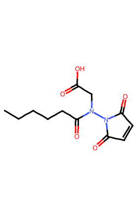 CCCCCC(=O)N(CC(=O)O)N1C(=O)C=CC1=O